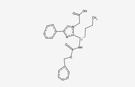 CCCC[C@H](NC(=O)OCc1ccccc1)c1nc(-c2ccccc2)cn1CC(=O)O